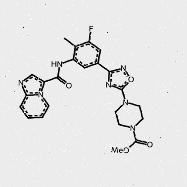 COC(=O)N1CCN(c2nc(-c3cc(F)c(C)c(NC(=O)c4cnc5ccccn45)c3)no2)CC1